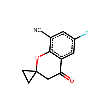 N#Cc1cc(F)cc2c1OC1(CC1)CC2=O